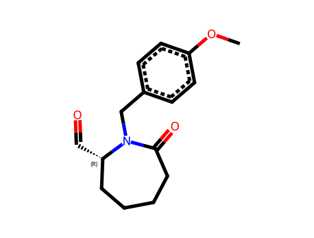 COc1ccc(CN2C(=O)CCCC[C@@H]2C=O)cc1